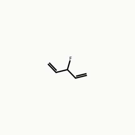 C=CC(F)C=C